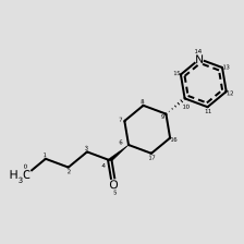 CCCCC(=O)[C@H]1CC[C@H](c2cccnc2)CC1